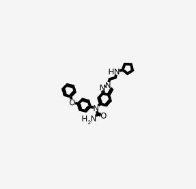 NC(=O)N(c1ccc(Oc2ccccc2)cc1)c1ccc2cn(CCNC3CCCC3)nc2c1